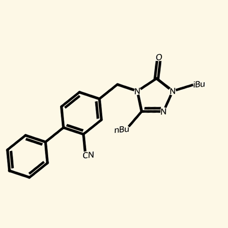 CCCCc1nn(C(C)CC)c(=O)n1Cc1ccc(-c2ccccc2)c(C#N)c1